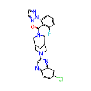 O=C(c1c(F)cccc1-n1nccn1)N1CC2CC(C1)CN(c1cnc3ccc(Cl)cc3n1)C2